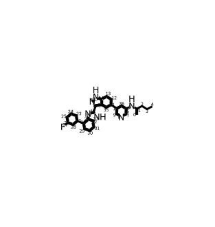 C=C(CCC)Nc1cncc(-c2ccc3[nH]nc(-c4nc5c(-c6cccc(F)c6)cccc5[nH]4)c3c2)c1